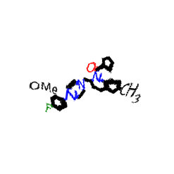 COc1cc(F)ccc1N1CCN(CC2CCc3cc(C)ccc3N2C(=O)C2CCCC2)CC1